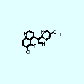 Cc1cnc2c(-c3ccnc4ccc(Cl)c(F)c34)cnn2c1